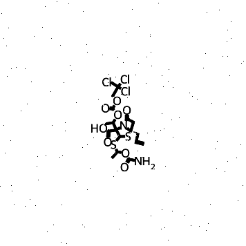 C=CC[C@@]12CC(=O)N1C(C(=O)O)(C(C)OC(=O)OCC(Cl)(Cl)Cl)C(SC(C)OC(N)=O)S2